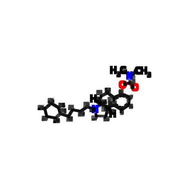 CN(C)C(=O)Oc1cccc2c1CC[C@@H]1[C@H]2CCN1CCCCC1CCCCC1